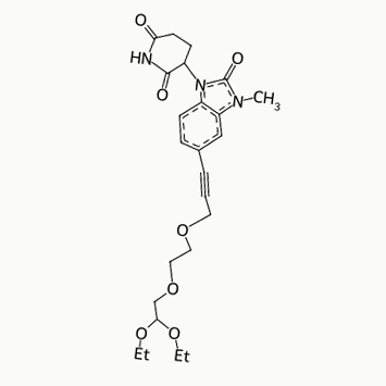 CCOC(COCCOCC#Cc1ccc2c(c1)n(C)c(=O)n2C1CCC(=O)NC1=O)OCC